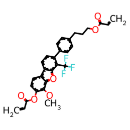 C=CC(=O)OCCCc1ccc(-c2ccc3c(oc4c(OC)c(OC(=O)C=C)ccc43)c2C(F)(F)F)cc1